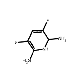 N[C]1NC(N)=C(F)C=C1F